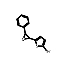 CC(C)c1ccc(C2OC2c2ccccc2)s1